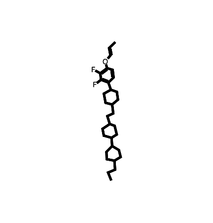 C/C=C/Oc1ccc(C2CCC(CCC3CCC(C4CCC(CCC)CC4)CC3)CC2)c(F)c1F